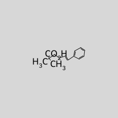 CC(C)(CCC=Cc1ccccc1)C(=O)O